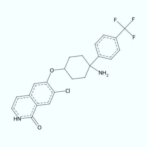 NC1(c2ccc(C(F)(F)F)cc2)CCC(Oc2cc3cc[nH]c(=O)c3cc2Cl)CC1